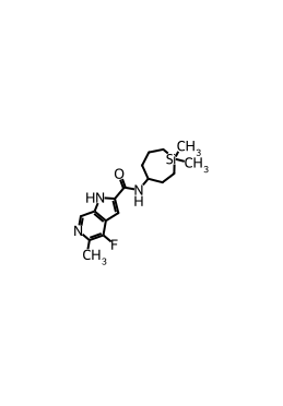 Cc1ncc2[nH]c(C(=O)NC3CCC[Si](C)(C)CC3)cc2c1F